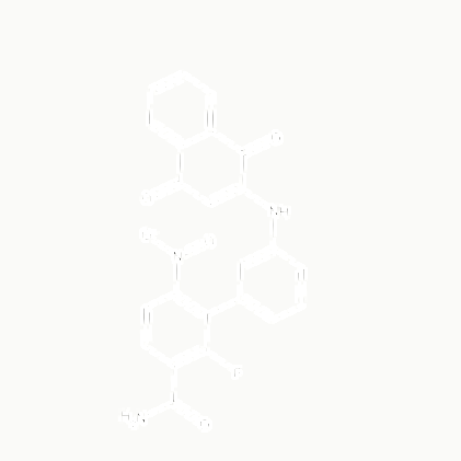 NC(=O)c1ccc([N+](=O)[O-])c(-c2cccc(NC3=CC(=O)c4ccccc4C3=O)c2)c1F